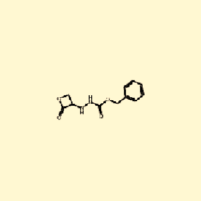 O=C(NNC1COC1=O)OCc1ccccc1